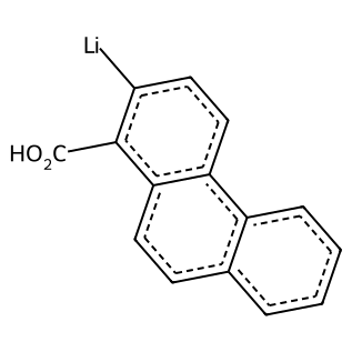 [Li][c]1ccc2c(ccc3ccccc32)c1C(=O)O